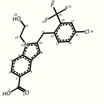 O=C(O)c1ccc2c(c1)cc(Cc1ccc(Cl)cc1C(F)(F)F)n2CCO